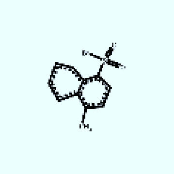 Cc1ccc(S(=O)(=O)Br)c2ccccc12